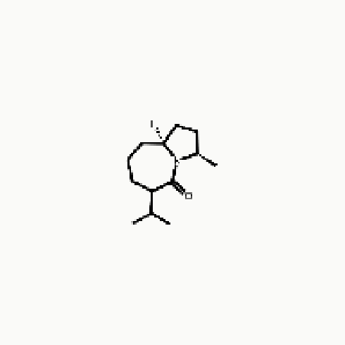 CC(C)[C@H]1CCC[C@H]2CC[C@@H](C)N2C1=O